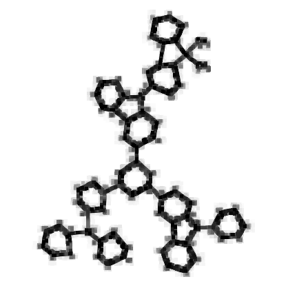 CC1(C)c2ccccc2-c2cc(-n3c4ccccc4c4cc(-c5cc(-c6cccc(N(c7ccccc7)c7ccccc7)c6)cc(-c6ccc7c(c6)c6ccccc6n7-c6ccccc6)c5)ccc43)ccc21